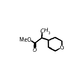 COC(=O)C(C)C1CCOCC1